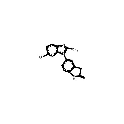 Cc1ccc2nc(C)n(-c3ccc4c(c3)CC(=O)N4)c2n1